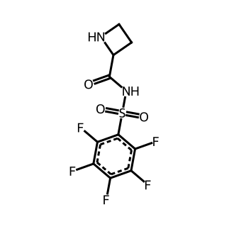 O=C(NS(=O)(=O)c1c(F)c(F)c(F)c(F)c1F)C1CCN1